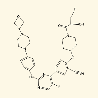 N#Cc1cc(-c2nc(Nc3ccc(N4CCN(C5COC5)CC4)cc3)ncc2F)ccc1OC1CCN(C(=O)[C@H](O)CF)CC1